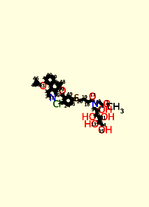 COCCN(C[C@H](O)[C@@H](O)[C@H](O)[C@H](O)CO)C(=O)CCCSc1ccc(Cl)c(COC2(c3cnccc3-c3ccccc3OC3CC3)CC2)c1